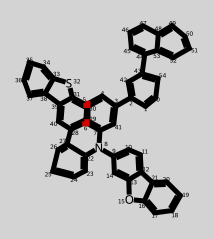 c1cc(-c2cccc(N(c3ccc4c(c3)oc3ccccc34)c3ccccc3-c3ccc4sc5ccccc5c4c3)c2)cc(-c2cccc3ccccc23)c1